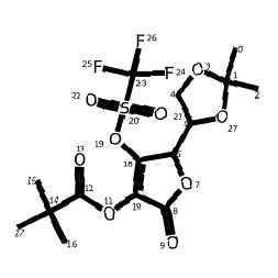 CC1(C)OCC(C2OC(=O)C(OC(=O)C(C)(C)C)=C2OS(=O)(=O)C(F)(F)F)O1